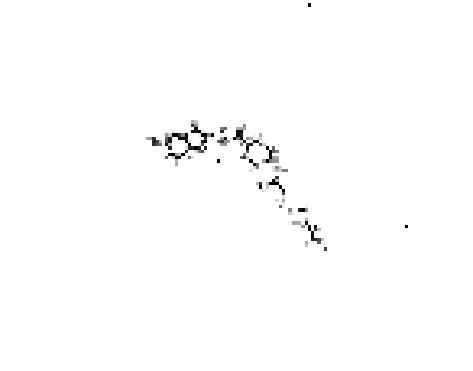 O=C(CO[C@H]1C[C@@H](OC(F)(F)F)C1)N[C@H]1CC[C@H](C(=O)NCc2cc3cc(Cl)ccc3o2)CC1